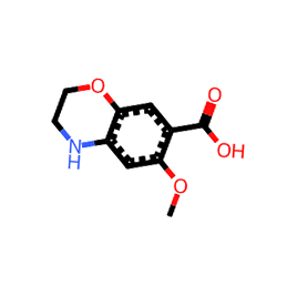 COc1cc2c(cc1C(=O)O)OCCN2